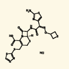 Cl.Nc1nc(/C(=N/OC2CSC2)C(=O)NC2C(=O)N3C(C(=O)O)=C(CSc4nncs4)CS[C@H]23)cs1